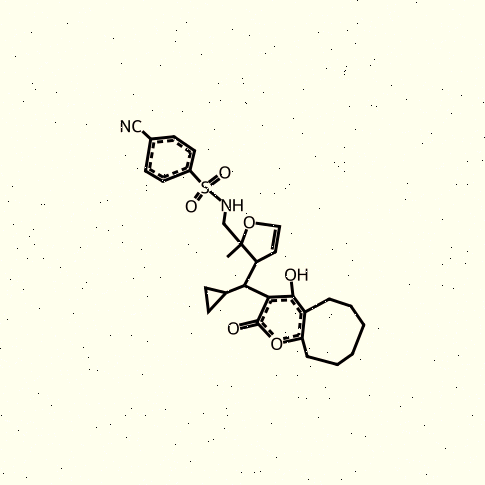 CC1(CNS(=O)(=O)c2ccc(C#N)cc2)OC=CC1C(c1c(O)c2c(oc1=O)CCCCCC2)C1CC1